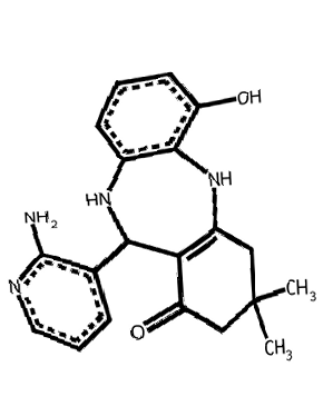 CC1(C)CC(=O)C2=C(C1)Nc1c(O)cccc1NC2c1cccnc1N